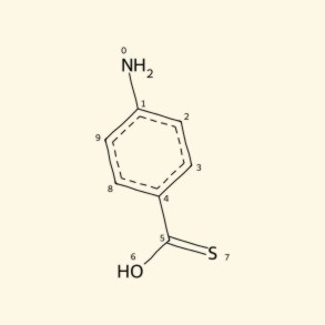 Nc1ccc(C(O)=S)cc1